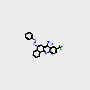 Nc1c2cc(C(F)(F)F)ccc2nc2c1cc(N=Nc1ccccc1)c1ccccc12